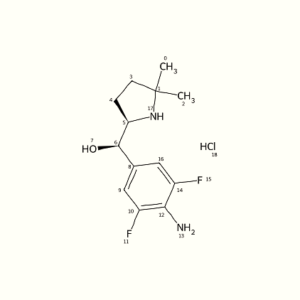 CC1(C)CC[C@H]([C@H](O)c2cc(F)c(N)c(F)c2)N1.Cl